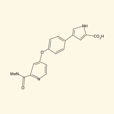 CNC(=O)c1cc(Oc2ccc(-c3c[nH]c(C(=O)O)c3)cc2)ccn1